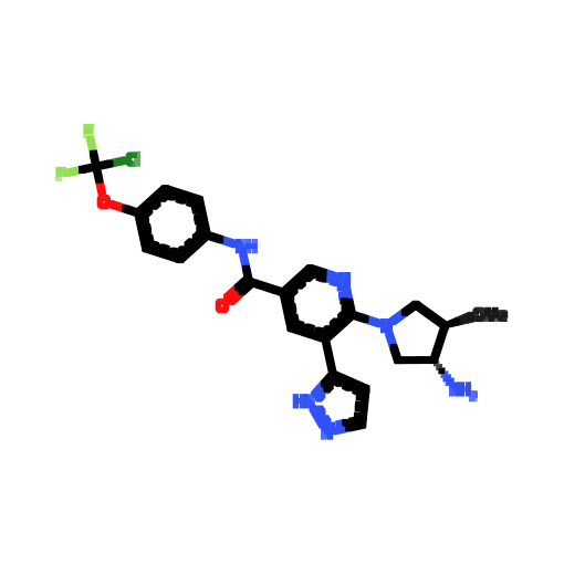 CO[C@@H]1CN(c2ncc(C(=O)Nc3ccc(OC(F)(F)Cl)cc3)cc2-c2ccn[nH]2)C[C@H]1N